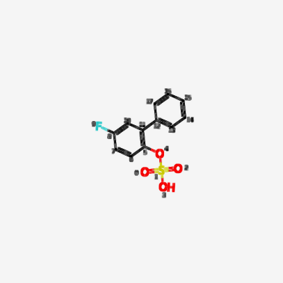 O=S(=O)(O)Oc1ccc(F)cc1-c1ccccc1